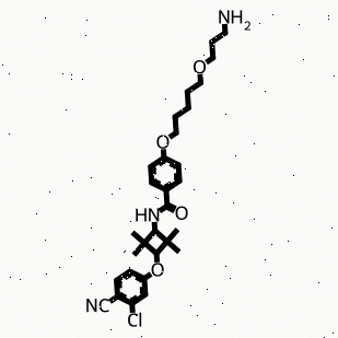 CC1(C)C(NC(=O)c2ccc(OCCCCCOCCCN)cc2)C(C)(C)C1Oc1ccc(C#N)c(Cl)c1